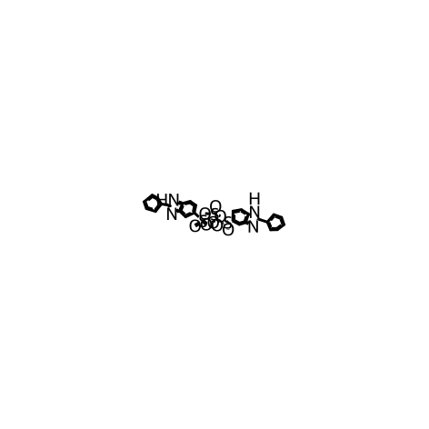 O=S(=O)(OS(=O)(=O)c1ccc2[nH]c(-c3ccccc3)nc2c1)OS(=O)(=O)c1ccc2[nH]c(-c3ccccc3)nc2c1